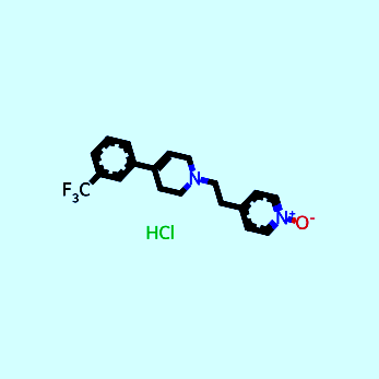 Cl.[O-][n+]1ccc(CCN2CC=C(c3cccc(C(F)(F)F)c3)CC2)cc1